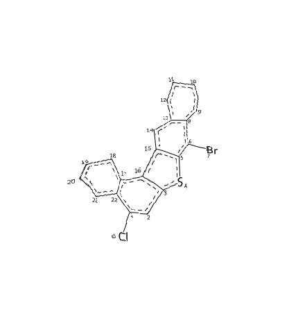 Clc1cc2sc3c(Br)c4ccccc4cc3c2c2ccccc12